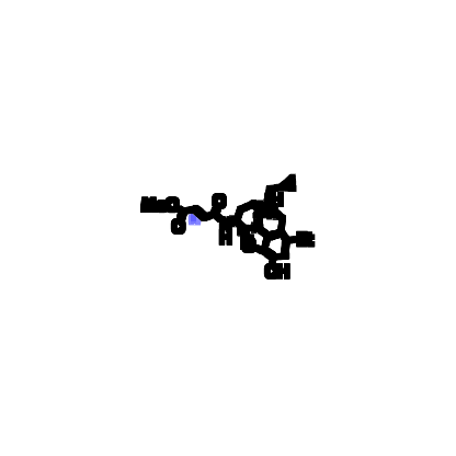 CCc1cc(O)c2c3c1C[C@@H]1[C@@H]4CC[C@H](NC(=O)/C=C/C(=O)OC)[C@H](O2)[C@]34CCN1CC1CC1